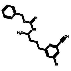 C#Cc1cc(CC)cc(CCCC(C)NC(=O)OCc2ccccc2)n1